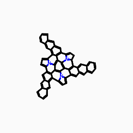 C1=c2c3cc4cc5ccccc5cc4c4c3c3c5c6c7c(c8cc9ccccc9cc8cc7c7ccc8c9c%10cc%11ccccc%11cc%10cc%10c9c(c6n78)c3n3c%10ccc43)C(C1)n25